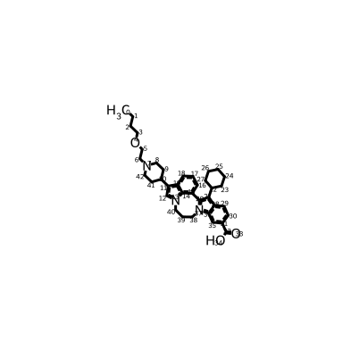 CCCCOCCN1CCC(c2cn3c4c(cccc24)-c2c(C4CCCCC4)c4ccc(C(=O)O)cc4n2CCC3)CC1